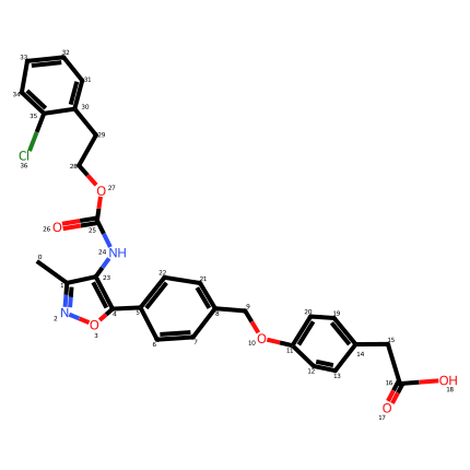 Cc1noc(-c2ccc(COc3ccc(CC(=O)O)cc3)cc2)c1NC(=O)OCCc1ccccc1Cl